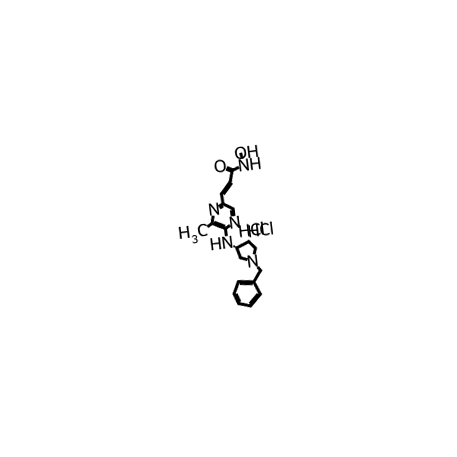 Cc1nc(/C=C/C(=O)NO)cnc1N[C@@H]1CCN(Cc2ccccc2)C1.Cl.Cl